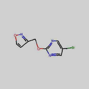 Brc1cnc(OCc2ccon2)nc1